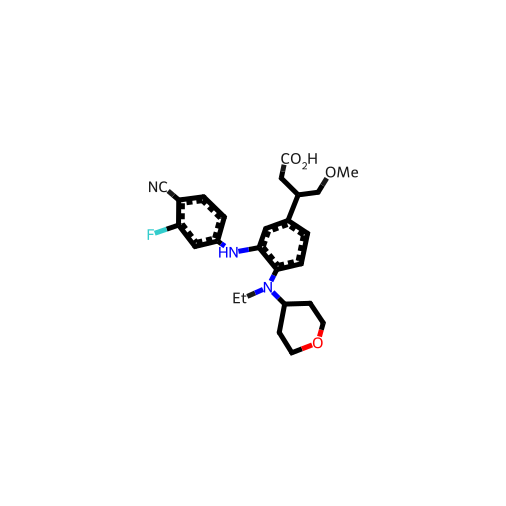 CCN(c1ccc(C(COC)CC(=O)O)cc1Nc1ccc(C#N)c(F)c1)C1CCOCC1